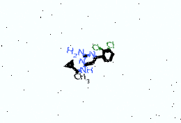 CC(Nc1cc(-c2cccc(Cl)c2Cl)nc(N)n1)C1CC1